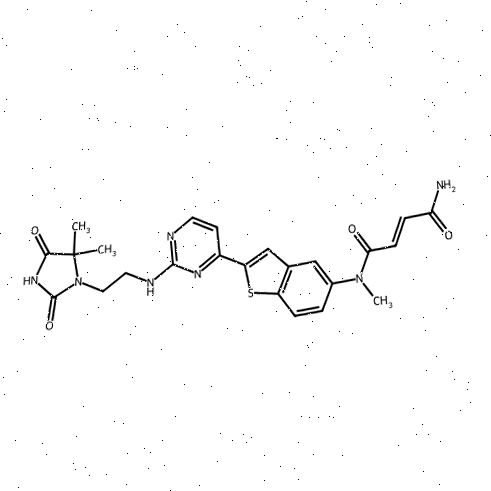 CN(C(=O)C=CC(N)=O)c1ccc2sc(-c3ccnc(NCCN4C(=O)NC(=O)C4(C)C)n3)cc2c1